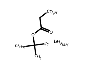 CCCCCCC(C)(OC(=O)CC(=O)O)C(C)C.[LiH].[NaH]